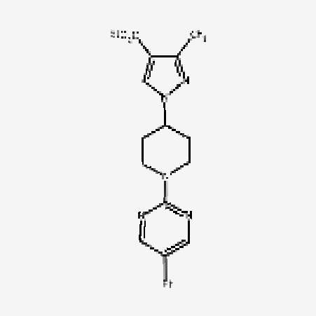 CCOC(=O)c1cn(C2CCN(c3ncc(CC)cn3)CC2)nc1C(F)(F)F